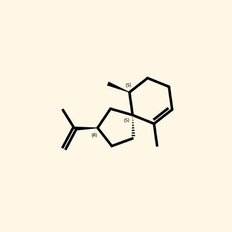 C=C(C)[C@@H]1CC[C@@]2(C1)C(C)=CCC[C@@H]2C